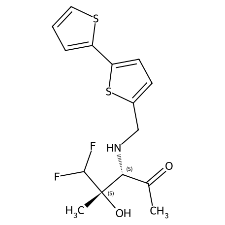 CC(=O)[C@@H](NCc1ccc(-c2cccs2)s1)[C@](C)(O)C(F)F